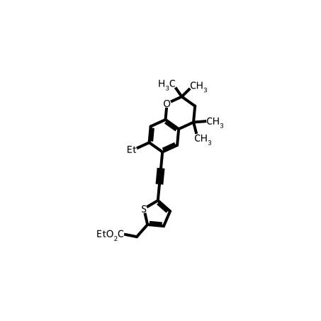 CCOC(=O)Cc1ccc(C#Cc2cc3c(cc2CC)OC(C)(C)CC3(C)C)s1